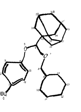 CCC(C)c1ccc(OC(OCC2CCCCC2)C23CC4CC(CC(C4)C2)C3)cc1